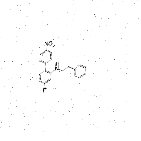 O=[N+]([O-])c1ccc(-c2ccc(F)cc2NCCc2ccccc2)cc1